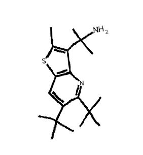 Cc1sc2cc(C(C)(C)C)c(C(C)(C)C)nc2c1C(C)(C)N